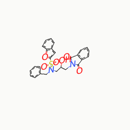 O=C1c2ccccc2C(=O)N1CC(O)CN(Cc1ccccc1)S(=O)(=O)c1cc2ccccc2o1